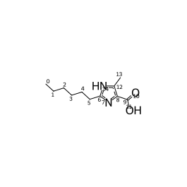 CCCCCCc1nc(C(=O)O)c(C)[nH]1